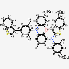 Cc1cc2c3c(c1)N(c1c(C)cc(C(C)(C)C)cc1C)c1sc4ccc(C(C)(C)C)cc4c1B3c1cc(C(C)(C)C)ccc1N2c1c(C)cc(-c2csc3ccccc23)cc1C